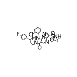 CC(C)(C)NS(=O)(=O)c1cnn2c(Nc3ccccc3Cl)c(C(=O)N3CCC(c4ccc(F)cc4)CC3)cnc12